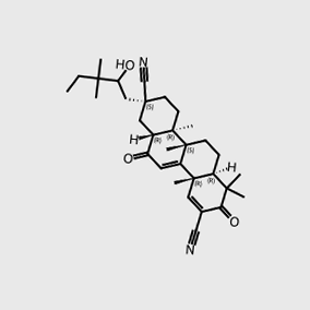 CCC(C)(C)C(O)C[C@]1(C#N)CC[C@]2(C)[C@@H](C1)C(=O)C=C1[C@@]3(C)C=C(C#N)C(=O)C(C)(C)[C@@H]3CC[C@]12C